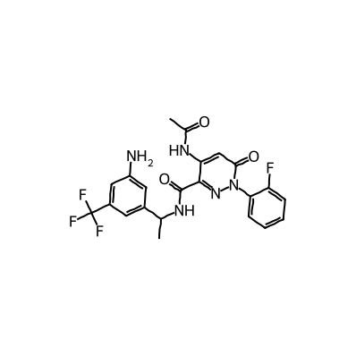 CC(=O)Nc1cc(=O)n(-c2ccccc2F)nc1C(=O)NC(C)c1cc(N)cc(C(F)(F)F)c1